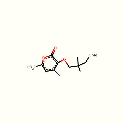 COCC(C)(C)COc1c(I)cc(C(=O)O)oc1=O